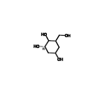 OCC1CC(O)C[C@H](O)C1O